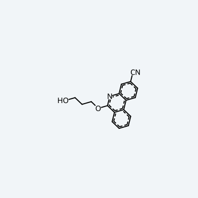 N#Cc1ccc2c(c1)nc(OCCCO)c1ccccc12